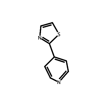 c1cc(-c2nccs2)ccn1